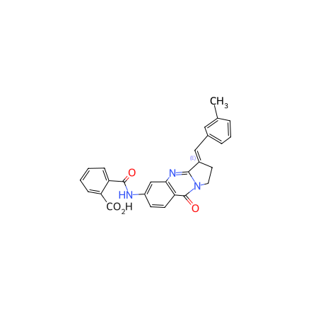 Cc1cccc(/C=C2\CCn3c2nc2cc(NC(=O)c4ccccc4C(=O)O)ccc2c3=O)c1